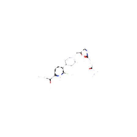 CCNC(=O)Nc1ncc(CN2CCC(c3ccc(C(=O)NC)nc3F)CC2)o1